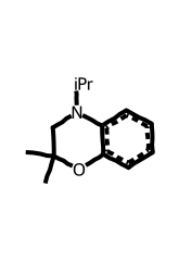 CC(C)N1CC(C)(C)Oc2ccccc21